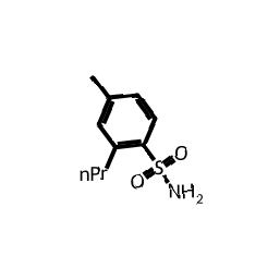 CCCc1cc(C)ccc1S(N)(=O)=O